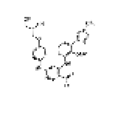 CCC(=O)c1cnc(Nc2ccc(OC[C@H](O)CO)cn2)cc1Nc1cccc(-c2ncn(C)n2)c1OC